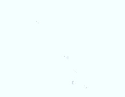 CC(=O)NC(C=CCNC=NNN)C(=O)O